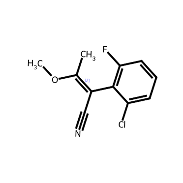 CO/C(C)=C(\C#N)c1c(F)cccc1Cl